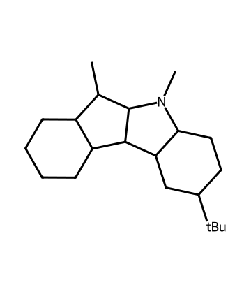 CC1C2CCCCC2C2C3CC(C(C)(C)C)CCC3N(C)C12